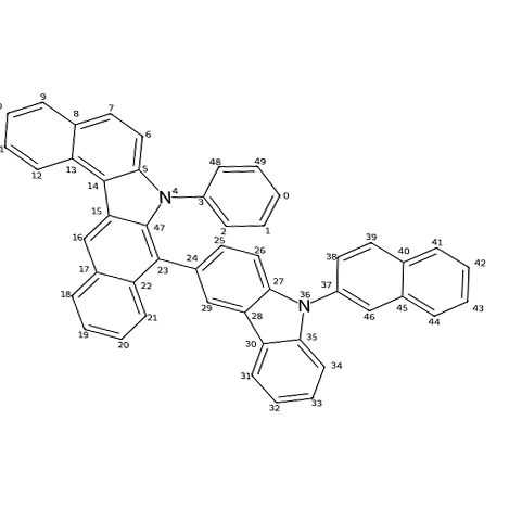 c1ccc(-n2c3ccc4ccccc4c3c3cc4ccccc4c(-c4ccc5c(c4)c4ccccc4n5-c4ccc5ccccc5c4)c32)cc1